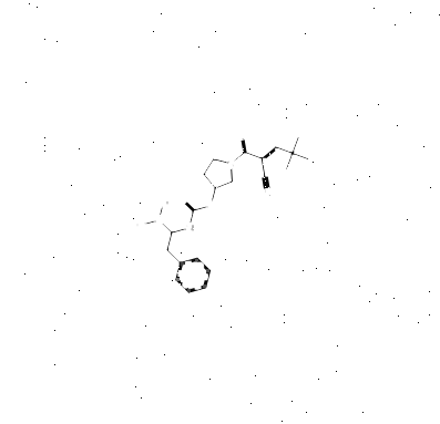 CC(C)(C)/C=C(\C#N)C(=O)N1CCC(OC(=O)NC(Cc2ccccc2)B(O)O)C1